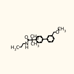 CCCNC(=O)C(C)(C)c1ccc(-c2cccc(COC)c2)cc1